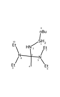 CCCC[SiH2]NC(C)(N(CC)CC)N(CC)CC